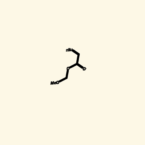 CCCCCC([O])OCOC